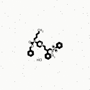 CCCCCN(C(=O)OCc1ccccc1)C1CCN(CCC(CN(C)S(=O)(=O)c2ccccc2)c2ccccc2)CC1.Cl